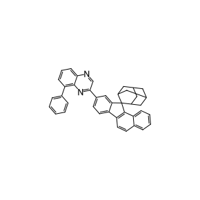 c1ccc(-c2cccc3ncc(-c4ccc5c(c4)C4(c6c-5ccc5ccccc65)C5CC6CC(C5)CC4C6)nc23)cc1